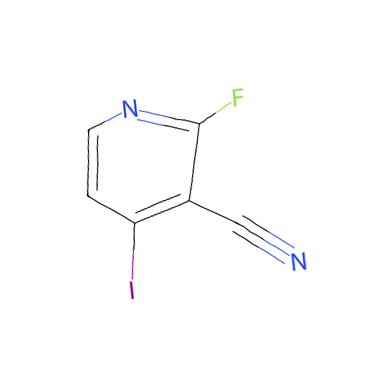 N#Cc1c(I)ccnc1F